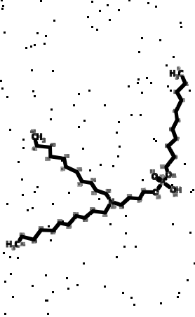 CCCCCCCCCCCOP(=O)(O)OCCCCN(CCCCCCCCCCC)CCCCCCCCCCC